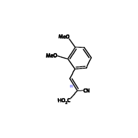 COc1cccc(/C=C(\C#N)C(=O)O)c1OC